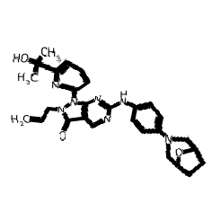 C=CCn1c(=O)c2cnc(Nc3ccc(N4CC5CCC(C4)O5)cc3)nc2n1-c1cccc(C(C)(C)O)n1